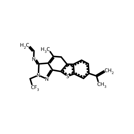 C=C/N=C1\C2=C(C)Cc3c(sc4cc(C(=C)C)ccc34)C2=NN1CC(F)(F)F